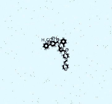 COC1(OC)C=C(C(=O)N2Cc3ccc(C(=O)N4CCN(CCN5CCOCC5)CC4)n3Cc3ccccc32)C=CC1c1ccccc1